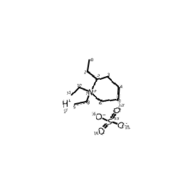 CCC1CCCC[N+]1(CC)CC.O=S(=O)([O-])[O-].[H+]